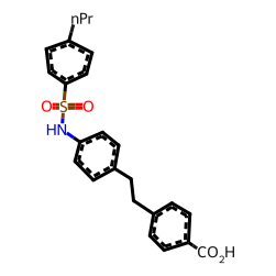 CCCc1ccc(S(=O)(=O)Nc2ccc(CCc3ccc(C(=O)O)cc3)cc2)cc1